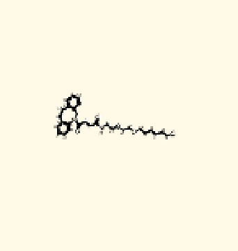 O=C(CCC(=O)N1Cc2ccccc2/C=C\c2ccccc21)NCCOCCOCCCCCCCl